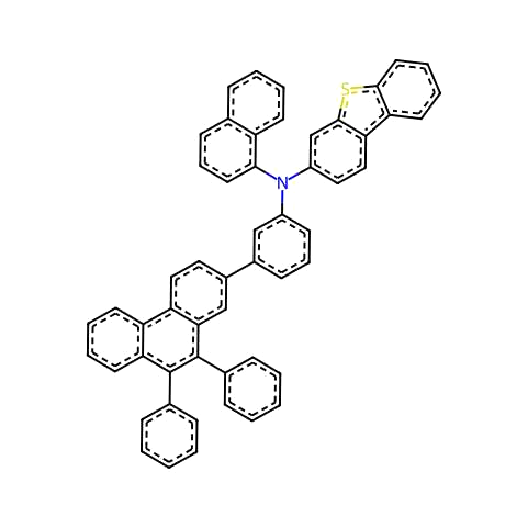 c1ccc(-c2c(-c3ccccc3)c3cc(-c4cccc(N(c5ccc6c(c5)sc5ccccc56)c5cccc6ccccc56)c4)ccc3c3ccccc23)cc1